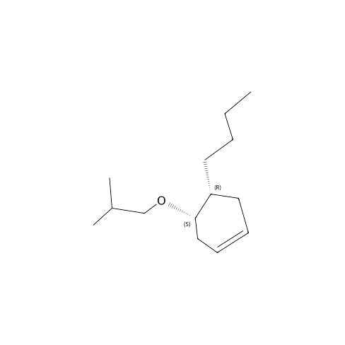 CCCC[C@@H]1CC=CC[C@@H]1OCC(C)C